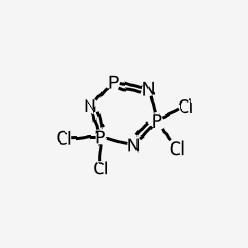 ClP1(Cl)=NP=NP(Cl)(Cl)=N1